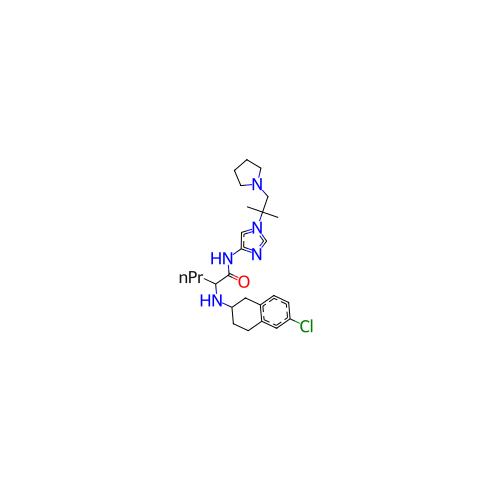 CCCC(NC1CCc2cc(Cl)ccc2C1)C(=O)Nc1cn(C(C)(C)CN2CCCC2)cn1